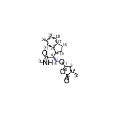 CNC(=O)/C(=C/OC1C=C(C)C(=O)O1)C1CCc2ccccc21